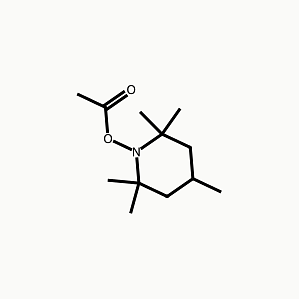 CC(=O)ON1C(C)(C)CC(C)CC1(C)C